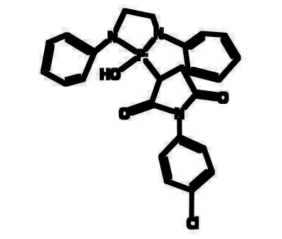 O=C1CC([P]2(O)N(c3ccccc3)CCN2c2ccccc2)C(=O)N1c1ccc(Cl)cc1